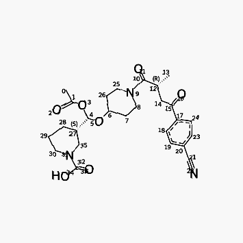 CC(=O)OC(OC1CCN(C(=O)[C@H](C)CC(=O)c2ccc(C#N)cc2)CC1)[C@H]1CCCN(C(=O)O)C1